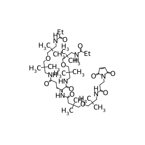 CCC(=O)NCC(C)(C)COCC(C)(C)CNC(=O)CC[C@H](NC(=O)CC(C)(C)COCC(C)(C)CNC(=O)CCN1C(=O)C=CC1=O)C(=O)NCC(C)(C)COCC(C)(C)CNC(=O)CC